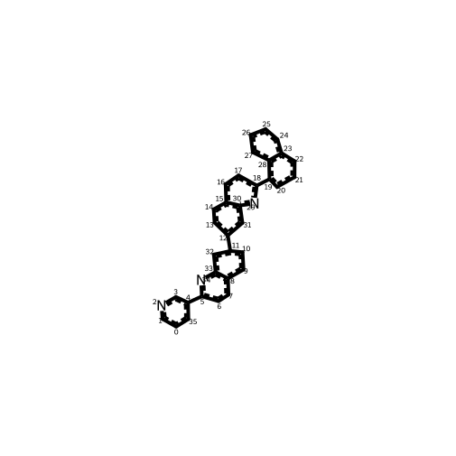 c1cncc(-c2ccc3ccc(-c4ccc5ccc(-c6cccc7ccccc67)nc5c4)cc3n2)c1